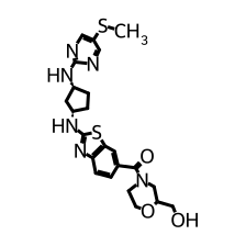 CSc1cnc(N[C@H]2CC[C@H](Nc3nc4ccc(C(=O)N5CCOC(CO)C5)cc4s3)C2)nc1